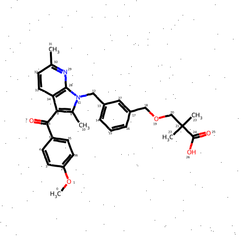 COc1ccc(C(=O)c2c(C)n(Cc3cccc(COCC(C)(C)C(=O)O)c3)c3nc(C)ccc23)cc1